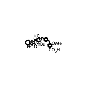 CCCCN1C(=O)[C@@H]([C@H](O)C2CCCCCC2)NC(=O)C12CCN(Cc1ccc(Cc3ccc(C(=O)O)cc3OC)cc1)CC2.Cl